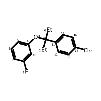 CCC(CC)(Oc1cccc(F)c1)c1ccc(Cl)cc1